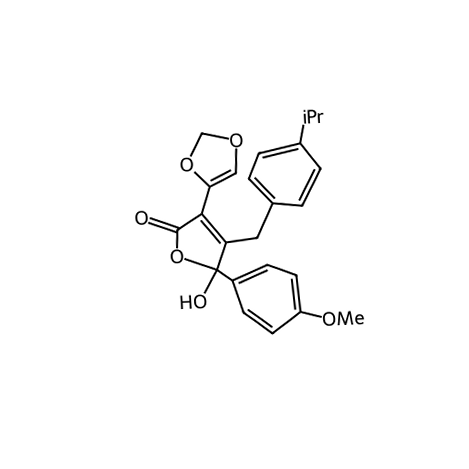 COc1ccc(C2(O)OC(=O)C(C3=COCO3)=C2Cc2ccc(C(C)C)cc2)cc1